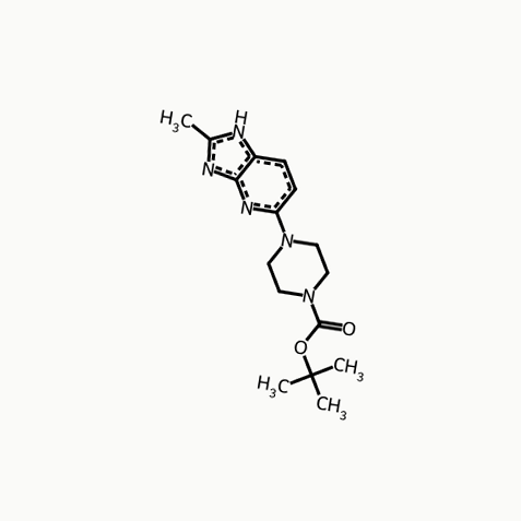 Cc1nc2nc(N3CCN(C(=O)OC(C)(C)C)CC3)ccc2[nH]1